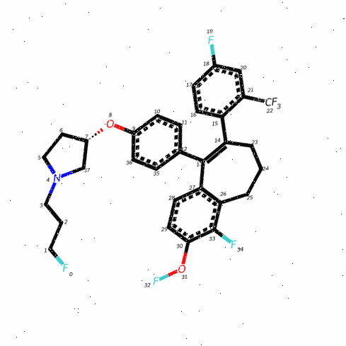 FCCCN1CC[C@H](Oc2ccc(C3=C(c4ccc(F)cc4C(F)(F)F)CCCc4c3ccc(OF)c4F)cc2)C1